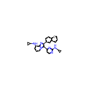 c1ccc2cc(-c3nc4c(NC5CC5)cccn4c3-c3ccnc(NC4CC4)n3)ccc2c1